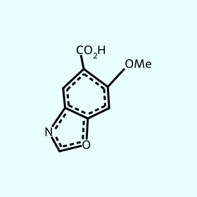 COc1cc2ocnc2cc1C(=O)O